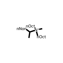 CCCCCCCCCC(C)[N+](C)(CCCCCCCC)CCCCCCCC